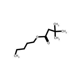 CCCCCOC(=O)CC(C)(C)C